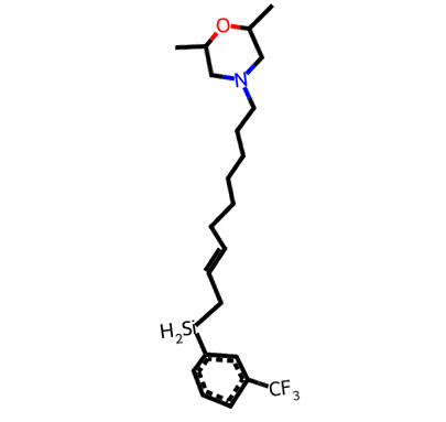 CC1CN(CCCCCCC=CC[SiH2]c2cccc(C(F)(F)F)c2)CC(C)O1